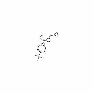 CC(C)(C)C1=CCN(C(=O)OCC2CC2)CC1